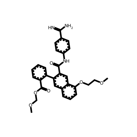 COCCOc1cccc2cc(-c3ccccc3C(=O)OCOC)c(C(=O)Nc3ccc(C(=N)N)cc3)cc12